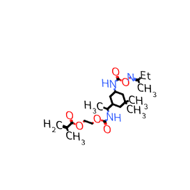 C=C(C)C(=O)OCCOC(=O)NC(C)C1CC(NC(=O)ON=C(C)CC)CC(C)(C)C1